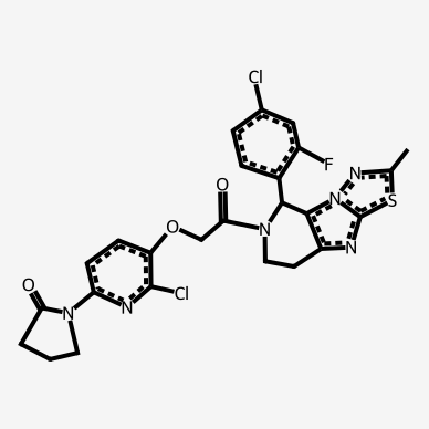 Cc1nn2c3c(nc2s1)CCN(C(=O)COc1ccc(N2CCCC2=O)nc1Cl)C3c1ccc(Cl)cc1F